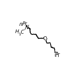 CCCN(C)CCCCOCCCCC(C)C